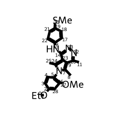 CCOc1ccc(-n2c(C)c3c(C)nnc(Nc4ccc(SC)cc4)c3c2C)c(OC)c1